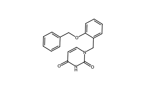 O=c1ccn(Cc2ccccc2OCc2ccccc2)c(=O)[nH]1